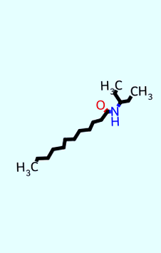 CCCCCCCCCCCC(=O)NC(CC)CC